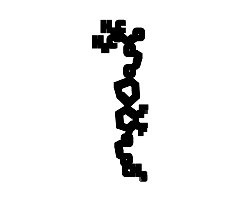 C=C(C)C(=O)O/C=C\Oc1ccc(-c2ccc(O/C=C\OC)c(F)c2F)cc1